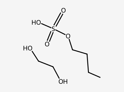 CCCCOS(=O)(=O)O.OCCO